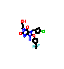 Cn1c2c(c(=O)n(CCCO)c1=O)N(Cc1ccc(Cl)cc1)C(Oc1ccc(C(C)(F)F)cc1)N2